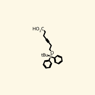 CC(C)(C)[Si](OCCC#CCCC(=O)O)(c1ccccc1)c1ccccc1